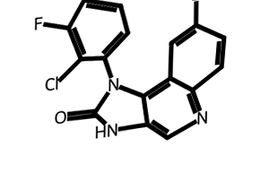 O=c1[nH]c2cnc3ccc(Br)cc3c2n1-c1cccc(F)c1Cl